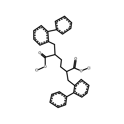 O=C(OCl)C(CCC(Cc1ccccc1-c1ccccc1)C(=O)OCl)Cc1ccccc1-c1ccccc1